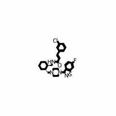 O=C(/C=C/c1cccc(Cl)c1)NC[C@@H]1CCCC[C@H]1CN1CCN(c2nsc3cc(F)ccc23)CC1